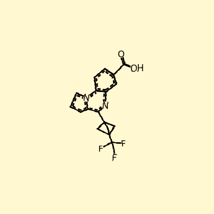 O=C(O)c1ccc2c(c1)nc(C13CC(C(F)(F)F)(C1)C3)c1cccn12